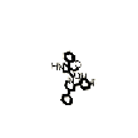 OC(C1CNCC12CCOc1ccccc12)N1CCC(c2ccccc2)CC1c1ccc(F)cc1